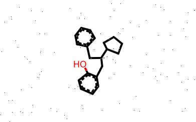 Oc1ccccc1C[C](Cc1ccccc1)C1CCCC1